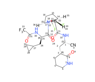 N#C[C@H](C[C@H]1CCCNC1=O)NC(=O)[C@H]1[C@@H]2CC[C@@H](CC2(F)F)N1C(=O)[C@@H](CC1CC1)NC(=O)C(F)(F)F